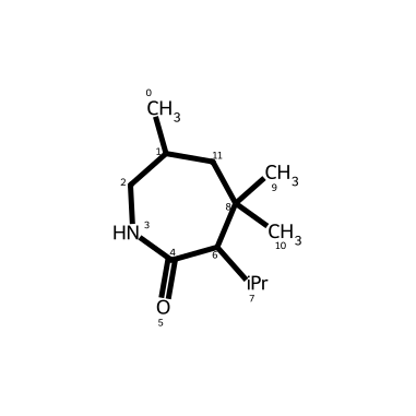 CC1CNC(=O)C(C(C)C)C(C)(C)C1